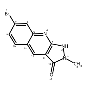 Cn1[nH]c2nc3cc(Br)ccc3cc2c1=O